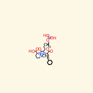 CCCC(NC(CCc1ccccc1)C(=O)OCCCON(O)O)C(=O)N1C(C(=O)O)CCCN1C